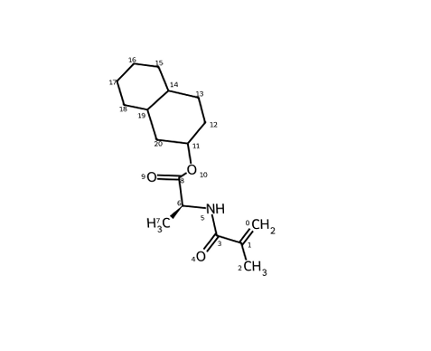 C=C(C)C(=O)N[C@@H](C)C(=O)OC1CCC2CCCCC2C1